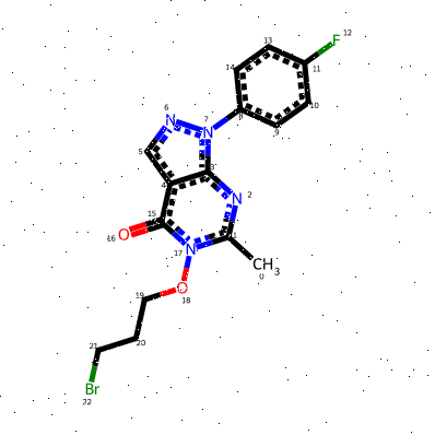 Cc1nc2c(cnn2-c2ccc(F)cc2)c(=O)n1OCCCBr